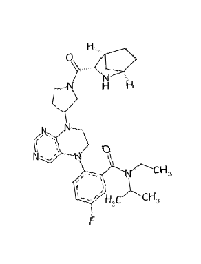 CCN(C(=O)c1cc(F)ccc1N1CCN(C2CCN(C(=O)[C@H]3N[C@@H]4CC[C@H]3C4)C2)c2ncncc21)C(C)C